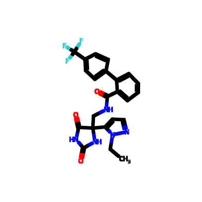 CCn1nccc1C1(CNC(=O)c2ccccc2-c2ccc(C(F)(F)F)cc2)NC(=O)NC1=O